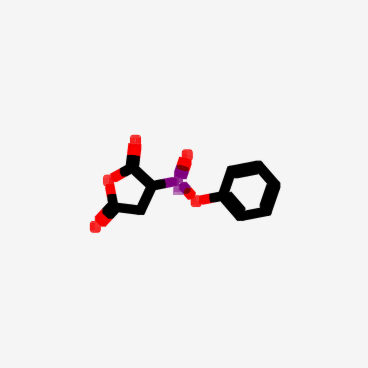 O=C1CC([PH](=O)Oc2ccccc2)C(=O)O1